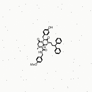 COc1ccc(CNC(=O)N2[C@H]3CN(CCC(c4ccccc4)c4ccccc4)C(=O)[C@H](Cc4ccc(O)cc4)N3C(=O)CN2C)cc1